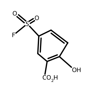 O=C(O)c1cc(S(=O)(=O)F)ccc1O